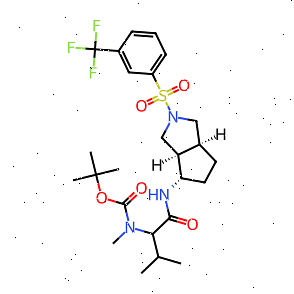 CC(C)C(C(=O)N[C@H]1CC[C@@H]2CN(S(=O)(=O)c3cccc(C(F)(F)F)c3)C[C@@H]21)N(C)C(=O)OC(C)(C)C